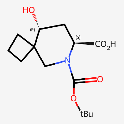 CC(C)(C)OC(=O)N1CC2(CCC2)[C@H](O)C[C@H]1C(=O)O